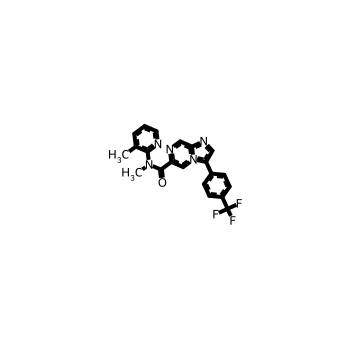 Cc1cccnc1N(C)C(=O)c1cn2c(-c3ccc(C(F)(F)F)cc3)cnc2cn1